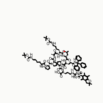 Cc1c(C)c(S(=O)(=O)NC(=N)NCCC[C@H](NC(=O)[C@@H]2CCCN2C(=O)[C@H](CCC(=O)NC(c2ccccc2)(c2ccccc2)c2ccccc2)NC(=O)[C@H](CC(C)C)NC(=O)[C@H](CCCCNC(=O)OC(C)(C)C)NC(=O)[C@H](C)NC(=O)[C@@H]2CCCN2C(=O)[C@@H]2CCCN2C(=O)[C@@H](N)CCCCNC(=O)OC(C)(C)C)C(=O)O)c(C)c2c1OC(C)(C)C2